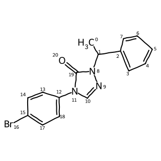 CC(c1ccccc1)n1ncn(-c2ccc(Br)cc2)c1=O